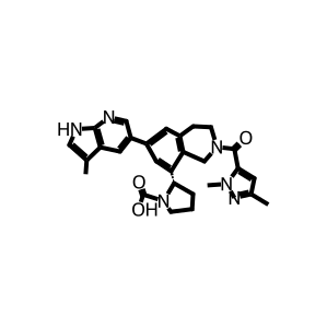 Cc1cc(C(=O)N2CCc3cc(-c4cnc5[nH]cc(C)c5c4)cc([C@@H]4CCCN4C(=O)O)c3C2)n(C)n1